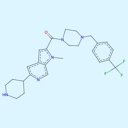 Cn1c(C(=O)N2CCN(Cc3ccc(C(F)(F)F)cc3)CC2)cc2cc(C3CCNCC3)ncc21